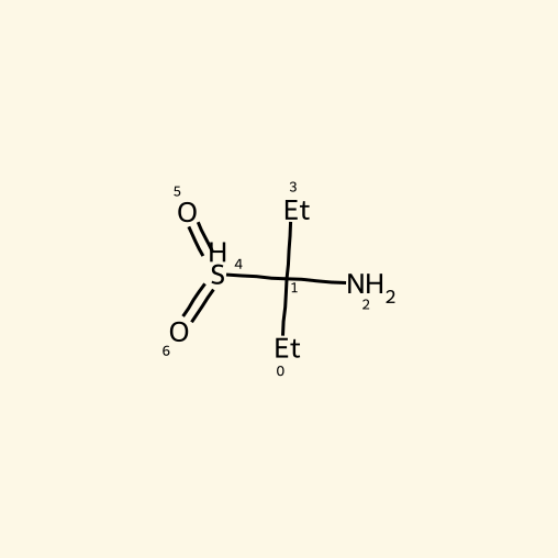 CCC(N)(CC)[SH](=O)=O